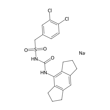 O=C(Nc1c2c(cc3c1CCC3)CCC2)NS(=O)(=O)Cc1ccc(Cl)c(Cl)c1.[Na]